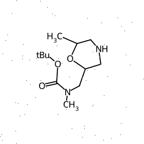 CC1CNCC(CN(C)C(=O)OC(C)(C)C)O1